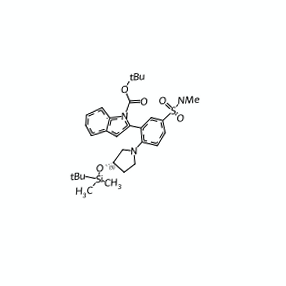 CNS(=O)(=O)c1ccc(N2CC[C@H](O[Si](C)(C)C(C)(C)C)C2)c(-c2cc3ccccc3n2C(=O)OC(C)(C)C)c1